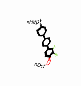 CCCCCCCCOc1ccc(C2CCC(C3CCC(CCCCCCC)CC3)CC2)c(F)c1F